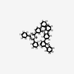 C1=CC(c2ccc(-c3nc(-c4ccccc4)nc(-c4ccccc4)n3)cc2-n2c3ccccc3c3ccc(-c4cccc5c4sc4ccccc45)cc32)=CCC1